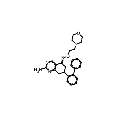 Nc1ncc2c(n1)CC(c1ccccc1-c1ccccc1)CC2=NOCCN1CCOCC1